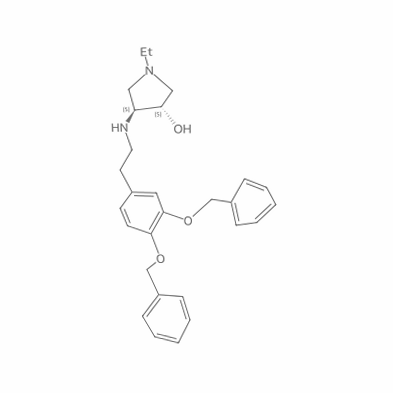 CCN1C[C@H](NCCc2ccc(OCc3ccccc3)c(OCc3ccccc3)c2)[C@@H](O)C1